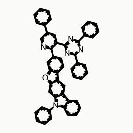 c1ccc(-c2cnc(-c3ccc4c(c3)oc3cc5c(cc34)c3ccccc3n5-c3ccccc3)c(-c3nc(-c4ccccc4)nc(-c4ccccc4)n3)c2)cc1